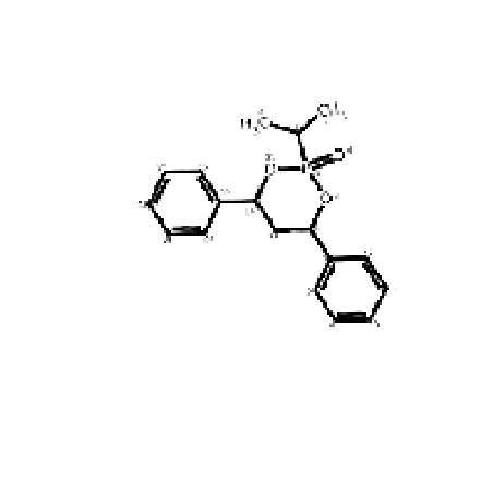 CC(C)P1(=O)OC(c2ccccc2)CC(c2ccccc2)O1